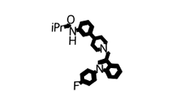 CC(C)C(=O)Nc1cccc(C2CCN(Cc3cn(-c4ccc(F)cc4)c4ccccc34)CC2)c1